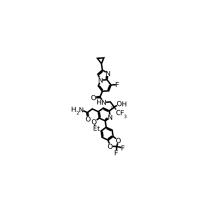 CCOc1c(CC(N)=O)cc([C@@](O)(CNC(=O)c2cc(F)c3nc(C4CC4)cn3c2)C(F)(F)F)nc1-c1ccc2c(c1)OC(F)(F)O2